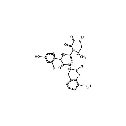 CCN1C[C@@H](C)N(C(=O)NC(C(=O)N[C@H]2Cc3cccc(C(=O)O)c3OB2O)c2ncc(O)cc2F)C(=O)C1=O